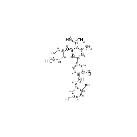 CC(=N)c1c(N)nc(-c2ccc(NSc3cc(F)ccc3F)c(Cl)c2)nc1OC1CCN(C)CC1